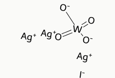 [Ag+].[Ag+].[Ag+].[I-].[O]=[W](=[O])([O-])[O-]